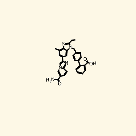 CCc1nc2c(C)cc(-c3cn4cc(C(N)=O)ccc4n3)cc2n1Cc1ccc(-c2ccccc2C(=O)O)cc1